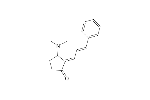 CN(C)C1CCC(=O)C1=CC=Cc1ccccc1